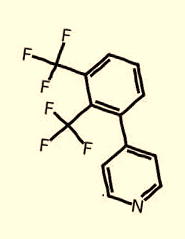 FC(F)(F)c1cccc(-c2c[c]ncc2)c1C(F)(F)F